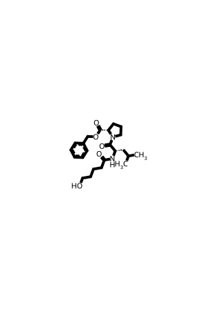 CC(C)C[C@H](NC(=O)CCCCO)C(=O)N1CCC[C@H]1C(=O)OCc1ccccc1